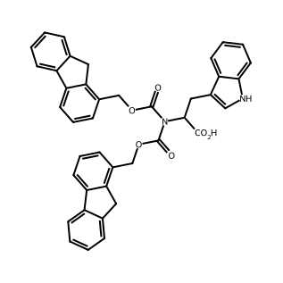 O=C(O)C(Cc1c[nH]c2ccccc12)N(C(=O)OCc1cccc2c1Cc1ccccc1-2)C(=O)OCc1cccc2c1Cc1ccccc1-2